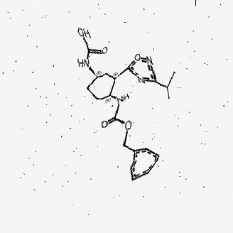 CC(C)c1noc([C@@H]2C[C@H](NC(=O)O)CC[C@@H]2NC(=O)OCc2ccccc2)n1